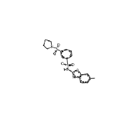 Cc1ccc2nc(NS(=O)(=O)c3cccc(S(=O)(=O)N4CCCC4)c3)sc2c1